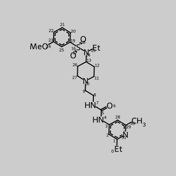 CCc1cc(NC(=O)NCCN2CCC(N(CC)S(=O)(=O)c3cccc(OC)c3)CC2)cc(C)n1